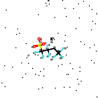 O=S(=O)([O-])C(F)(F)C(F)(F)CC(F)(F)F.[K+]